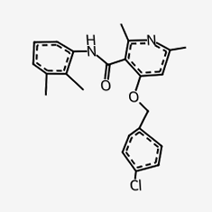 Cc1cc(OCc2ccc(Cl)cc2)c(C(=O)Nc2cccc(C)c2C)c(C)n1